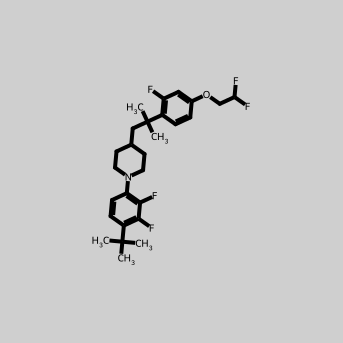 CC(C)(C)c1ccc(N2CCC(CC(C)(C)c3ccc(OCC(F)F)cc3F)CC2)c(F)c1F